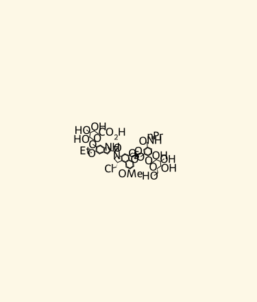 CCCNC(=O)c1ccc(O[C@@H]2O[C@H](CO)[C@@H](O)[C@H](O)[C@H]2O)c(OS(=O)(=O)Oc2cc3c(c4cc(OC)ccc24)[C@H](CCl)CN3C(=O)c2cc3cc(OCC)c(OC4O[C@H](C(=O)O)[C@@H](O)[C@H](O)[C@H]4O)cc3[nH]2)c1